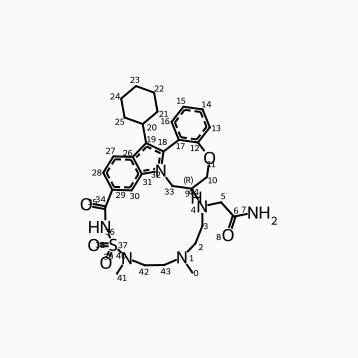 CN1CCN(CC(N)=O)[C@H]2COc3ccccc3-c3c(C4CCCCC4)c4ccc(cc4n3C2)C(=O)NS(=O)(=O)N(C)CC1